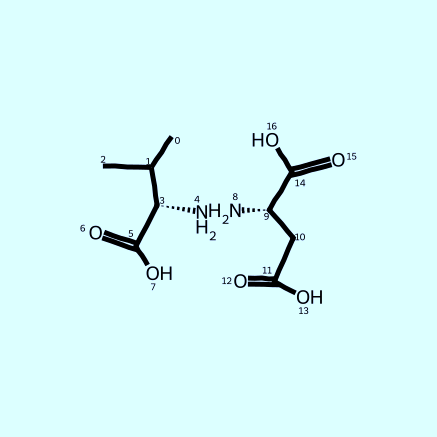 CC(C)[C@H](N)C(=O)O.N[C@@H](CC(=O)O)C(=O)O